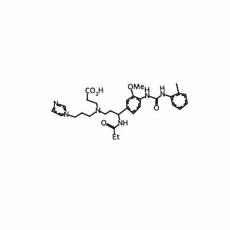 CCC(=O)NC(CCN(CCCn1ccnc1)CCC(=O)O)c1ccc(NC(=O)Nc2ccccc2C)c(OC)c1